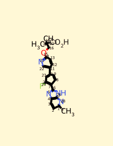 Cc1ccc2nc(-c3ccc(-c4ccc(OCC(C)(C)C(=O)O)nc4)cc3F)[nH]c2n1